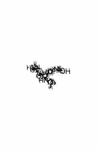 CCC1CC(Nc2cc(-c3ccc(CN4CC(O)C4)cc3)cc(C(=O)NCc3c(C)cc(C)[nH]c3=O)c2C)CCO1